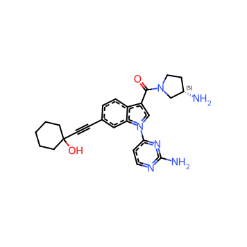 Nc1nccc(-n2cc(C(=O)N3CC[C@H](N)C3)c3ccc(C#CC4(O)CCCCC4)cc32)n1